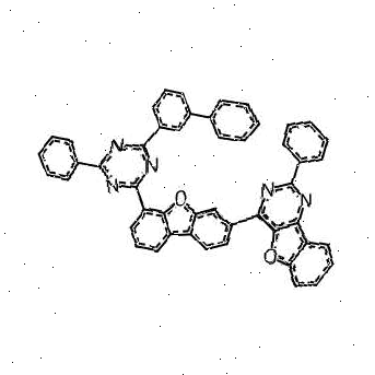 c1ccc(-c2cccc(-c3nc(-c4ccccc4)nc(-c4cccc5c4oc4cc(-c6nc(-c7ccccc7)nc7c6oc6ccccc67)ccc45)n3)c2)cc1